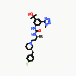 CC[C@H](CCN1CCC[C@@H](Cc2ccc(F)cc2)C1)NC(=O)Nc1cc(-c2nnnn2C)cc(C(C)(C)O)c1